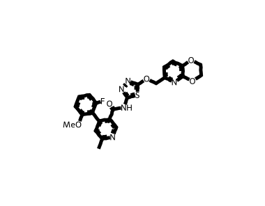 COc1cccc(F)c1-c1cc(C)ncc1C(=O)Nc1nnc(OCc2ccc3c(n2)OCCO3)s1